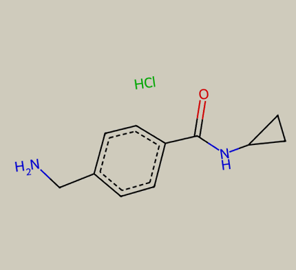 Cl.NCc1ccc(C(=O)NC2CC2)cc1